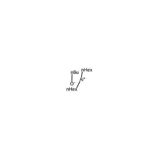 CCCCC[CH2][Al+][CH2]CCCCC.CCCC[O-]